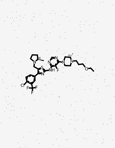 CCOCCCN1CCN(c2ncnc(Nc3nc(-c4ccc(Cl)c(C(F)(F)F)c4)c(CN4CCC[C@H]4C)s3)c2F)C[C@@H]1C